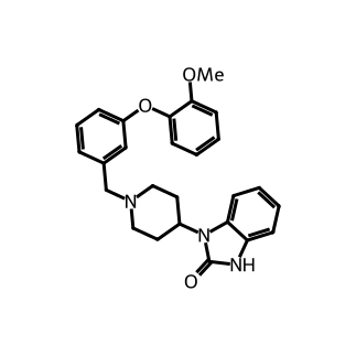 COc1ccccc1Oc1cccc(CN2CCC(n3c(=O)[nH]c4ccccc43)CC2)c1